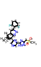 CC1(C)[C@H]2CC[C@@]1(c1cncc(-c3nc(CS(C)(=O)=O)n[nH]3)n1)c1nnc(-c3c(F)cccc3F)cc12